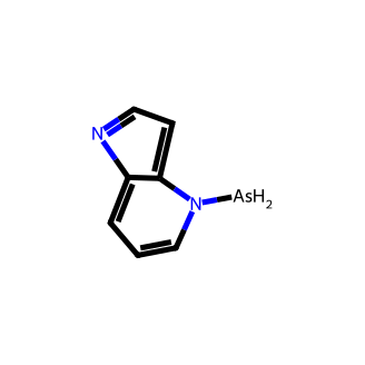 [AsH2]n1cccc2nccc1-2